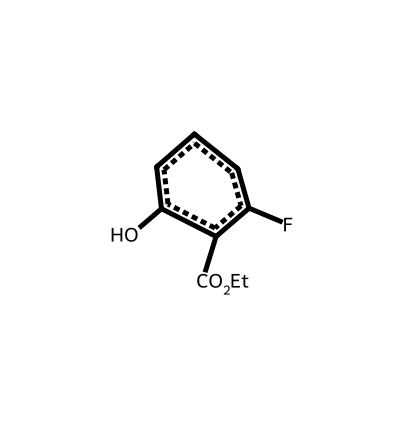 CCOC(=O)c1c(O)cccc1F